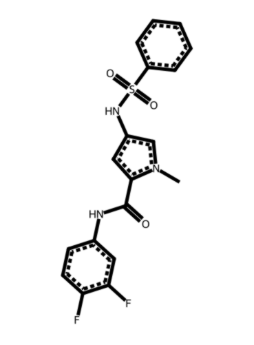 Cn1cc(NS(=O)(=O)c2ccccc2)cc1C(=O)Nc1ccc(F)c(F)c1